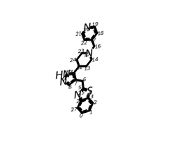 c1ccc2sc(Cc3cn[nH]c3C3CCN(Cc4ccncc4)CC3)nc2c1